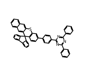 c1ccc(-c2nc(-c3ccccc3)nc(-c3ccc(-c4ccc5c(c4)Sc4cc6ccccc6cc4C54c5ccccc5-c5ccccc54)cc3)n2)cc1